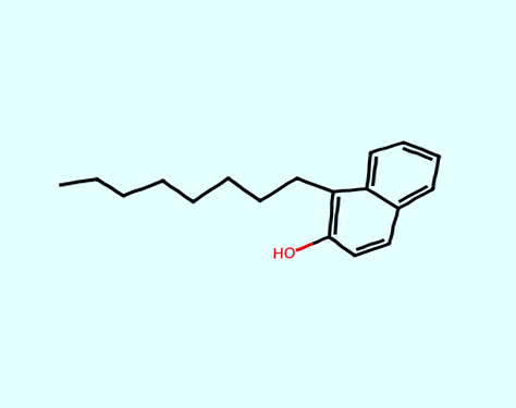 CCCCCCCCc1c(O)ccc2ccccc12